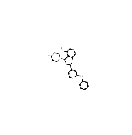 COc1cncc2nc(-c3ccnc(Nc4ccccc4)c3)nc(N3CC[C@H](O)[C@H](O)C3)c12